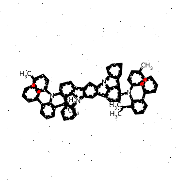 Cc1ccc(N(c2c(-c3ccccc3)cccc2C(C)C)c2ccc3c4cc5c(cc4n4c6ccccc6c2c34)c2ccc(N(c3ccc(C)cc3)c3c(-c4ccccc4)cccc3C(C)C)c3c4ccccc4n5c23)cc1